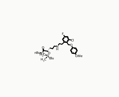 CCCCOC(=O)[C@H](CCCNCCc1cc(F)cc(Cl)c1COc1ccc(OC)cc1)O[Si](C)(C)C(C)(C)C